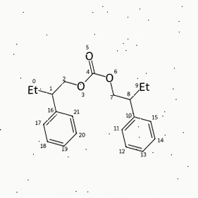 CCC(COC(=O)OCC(CC)c1ccccc1)c1ccccc1